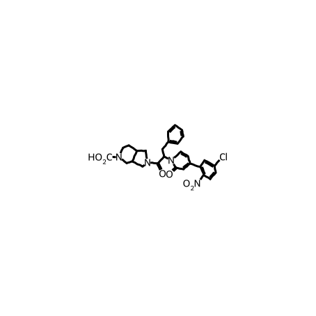 O=C(O)N1CCC2CN(C(=O)C(Cc3ccccc3)n3ccc(-c4cc(Cl)ccc4[N+](=O)[O-])cc3=O)CC2C1